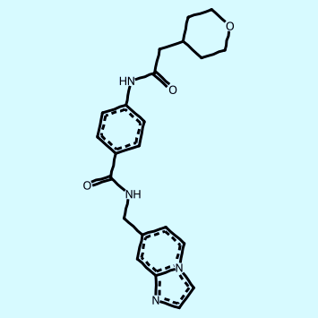 O=C(CC1CCOCC1)Nc1ccc(C(=O)NCc2ccn3ccnc3c2)cc1